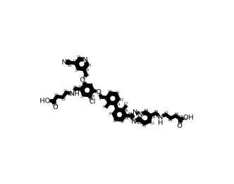 Cc1c(COc2cc(OCc3cncc(C#N)c3)c(CNCCCC(=O)O)cc2Cl)cccc1-c1cccc(-c2nc3ccc(CNCCCC(=O)O)cn3n2)c1C